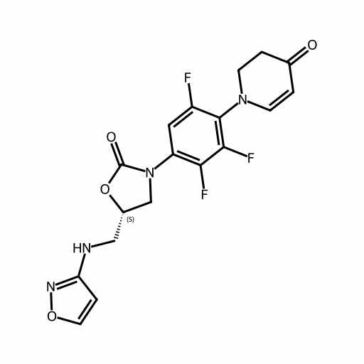 O=C1C=CN(c2c(F)cc(N3C[C@H](CNc4ccon4)OC3=O)c(F)c2F)CC1